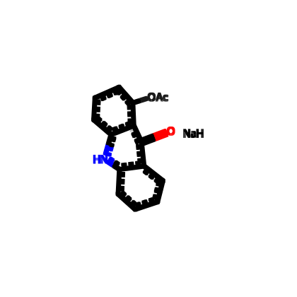 CC(=O)Oc1cccc2[nH]c3ccccc3c(=O)c12.[NaH]